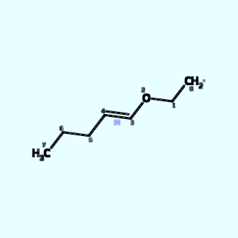 [CH2]CO/C=C/CCC